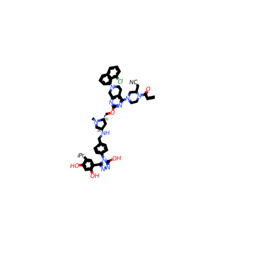 C=CC(=O)N1CCN(c2nc(OC[C@@H]3C[C@@H](NCc4ccc(-n5c(O)nnc5-c5cc(C(C)C)c(O)cc5O)cc4)CN3C)nc3c2CCN(c2cccc4cccc(Cl)c24)C3)CC1CC#N